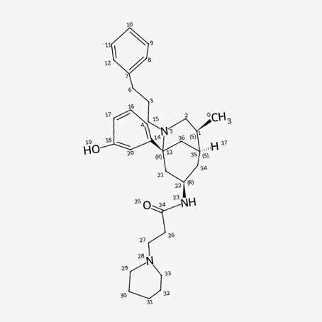 C[C@@H]1CN(CCCc2ccccc2)[C@@]2(c3cccc(O)c3)C[C@H](NC(=O)CCN3CCCCC3)C[C@H]1C2